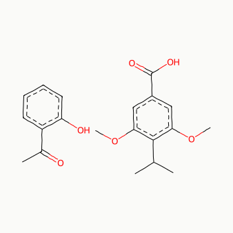 CC(=O)c1ccccc1O.COc1cc(C(=O)O)cc(OC)c1C(C)C